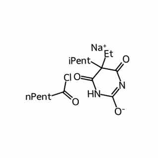 CCCC(C)C1(CC)C(=O)N=C([O-])NC1=O.CCCCCC(=O)Cl.[Na+]